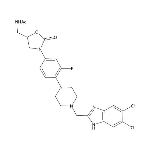 CC(=O)NCC1CN(c2ccc(N3CCN(Cc4nc5cc(Cl)c(Cl)cc5[nH]4)CC3)c(F)c2)C(=O)O1